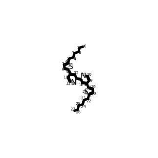 CCCCCCc1ccc(-c2ccnc(-c3cc(-c4ccc(CCCCCC)s4)ccn3)c2)s1